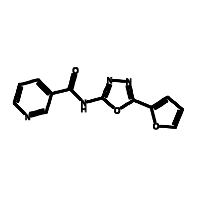 O=C(Nc1nnc(-c2ccco2)o1)c1cccnc1